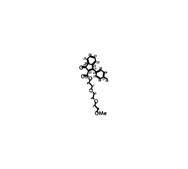 COCCOCCOCCOC(=O)C1=C(c2ccc(C)cc2)c2ccccc2C1=O